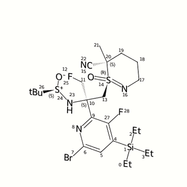 CC[Si](CC)(CC)c1cc(Br)nc([C@](CF)(C[S@]2(=O)=NCCC[C@@]2(C)C#N)N[S@+]([O-])C(C)(C)C)c1F